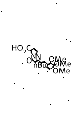 CCCCc1c(C=Cc2ccc(OC)c(OC)c2OC)nc2ccc(C(=O)O)cn2c1=O